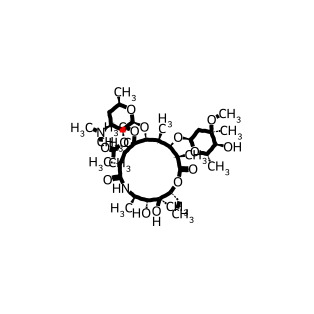 CC[C@H]1OC(=O)[C@H](C)[C@@H](O[C@H]2C[C@@](C)(OC)[C@@H](O)[C@H](C)O2)[C@H](C)[C@@H](O[C@@H]2O[C@H](C)C[C@H](N(C)C)[C@H]2OC(C)=O)[C@](C)(OC)C[C@@H](C)C(=O)N[C@H](C)[C@@H](O)[C@]1(C)O